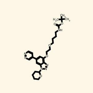 CC(C)(C)OC(=O)NCCCCOCCOc1cc(-c2ccnnc2)cc2c1nnn2C1CCCCO1